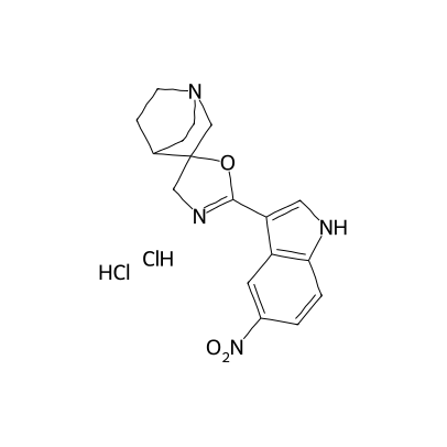 Cl.Cl.O=[N+]([O-])c1ccc2[nH]cc(C3=NCC4(CN5CCC4CC5)O3)c2c1